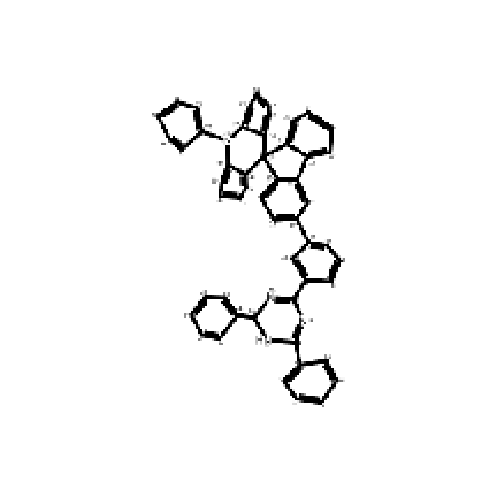 c1ccc(C2=NC(c3cccc(-c4ccc5c(c4)-c4ccccc4C54c5ccccc5N(c5ccccc5)c5ccccc54)c3)=NC(c3ccccc3)N2)cc1